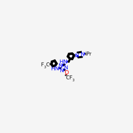 CC(C)N1CCN(c2cccc(CNc3nc(Nc4cccc(C(F)(F)F)c4)nc(OCC(F)(F)F)n3)c2)CC1